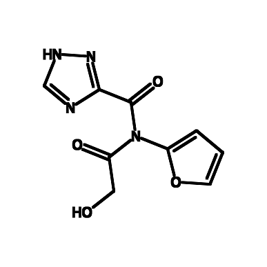 O=C(CO)N(C(=O)c1nc[nH]n1)c1ccco1